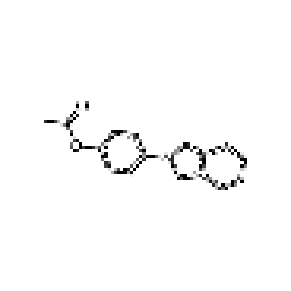 CC(=O)Oc1ccc(-n2cc3ccccc3c2)cc1